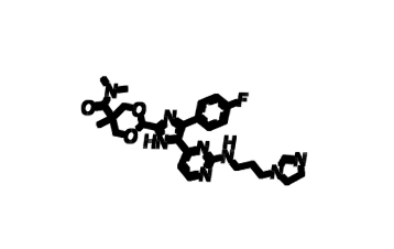 CN(C)C(=O)C1(C)COC(c2nc(-c3ccc(F)cc3)c(-c3ccnc(NCCCN4C=NCC4)n3)[nH]2)OC1